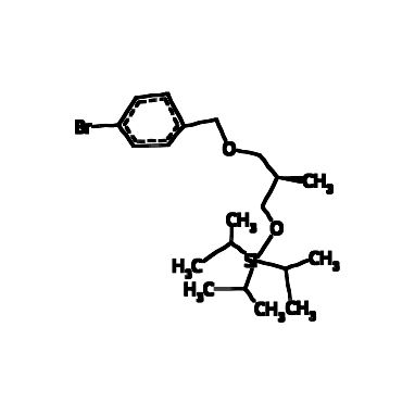 CC(C)[Si](OC[C@H](C)COCc1ccc(Br)cc1)(C(C)C)C(C)C